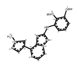 COc1cccc(Nc2nc3c(-c4cnn(C)c4)nccn3n2)c1OC